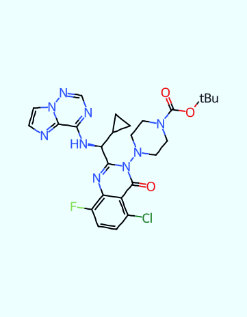 CC(C)(C)OC(=O)N1CCN(n2c([C@@H](Nc3ncnn4ccnc34)C3CC3)nc3c(F)ccc(Cl)c3c2=O)CC1